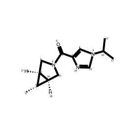 [CH2][C@@H]1[C@H]2CN(C(=O)c3cn(C(C)C)cn3)C[C@@H]12